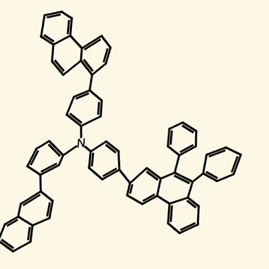 c1ccc(-c2c(-c3ccccc3)c3cc(-c4ccc(N(c5ccc(-c6cccc7c6ccc6ccccc67)cc5)c5cccc(-c6ccc7ccccc7c6)c5)cc4)ccc3c3ccccc23)cc1